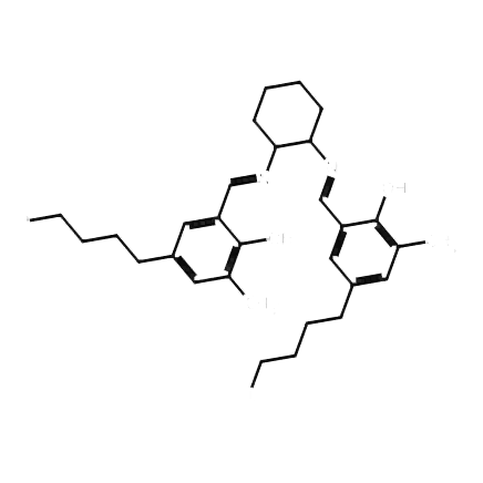 Cc1cc(CCCCI)cc(/C=N/C2CCCCC2/N=C/c2cc(CCCCI)cc(C)c2O)c1O